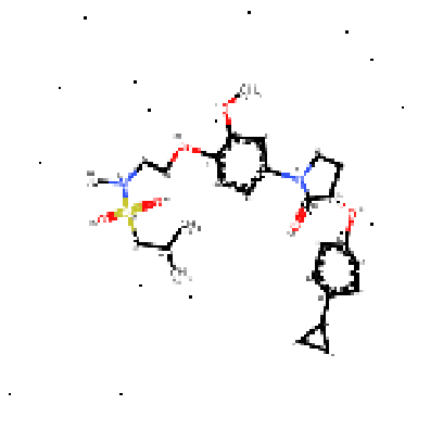 COc1cc(N2CC[C@H](Oc3ccc(C4CC4)cc3)C2=O)ccc1OCCN(C)S(=O)(=O)CC(C)C